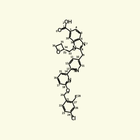 O=C(O)c1ccc2nc(Cc3ccc(-c4cccc(OCc5ccc(Cl)cc5F)n4)nc3)n(C[C@@H]3CCO3)c2c1